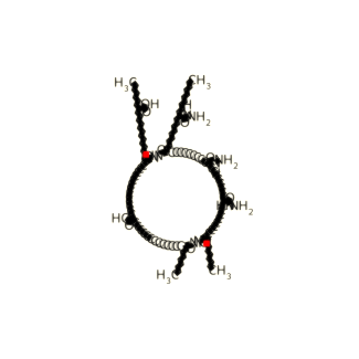 CCCCCCCCCCC(CCCCCCCCCC1CCCCCCCCCC(C(=O)NN)CCCCCCCCC(C(=O)NN)CCCCCCCCC(CCCCCCCCC)C(=O)NNC(=O)C(CCCCCCCC)CCCCCCCCCCCCCC(C(=O)O)CCCCCCCCCCCCCC(CCCCCCCCCCCCCC(CCCCCCC)C(=O)O)C(=O)NNC1=O)C(=O)NN